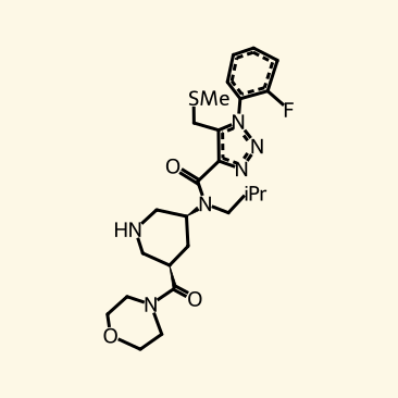 CSCc1c(C(=O)N(CC(C)C)[C@@H]2CNC[C@H](C(=O)N3CCOCC3)C2)nnn1-c1ccccc1F